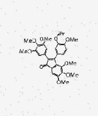 COc1ccc(C2=C(c3cc(OC)c(OC)c(OC)c3)C(=O)c3cc(OC)c(OC)c(OC)c32)cc1OC(C)C